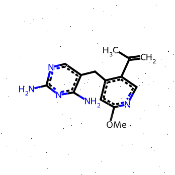 C=C(C)c1cnc(OC)cc1Cc1cnc(N)nc1N